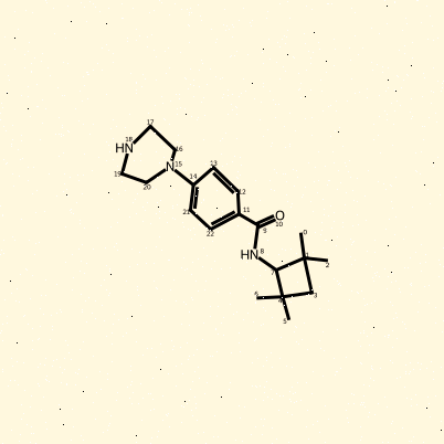 CC1(C)CC(C)(C)C1NC(=O)c1ccc(N2CCNCC2)cc1